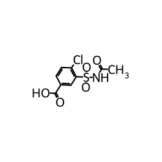 CC(=O)NS(=O)(=O)c1cc(C(=O)O)ccc1Cl